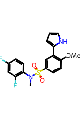 COc1ccc(S(=O)(=O)N(C)c2ccc(F)cc2F)cc1-c1ccc[nH]1